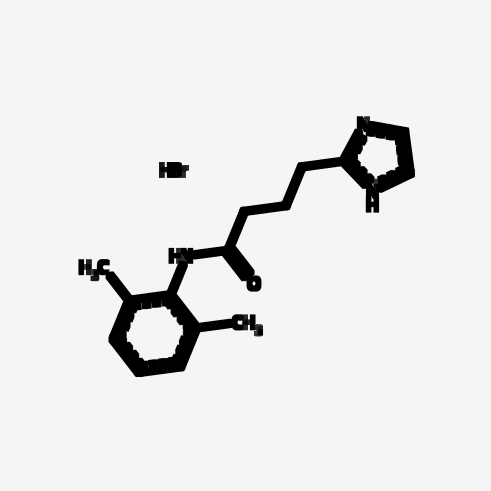 Br.Cc1cccc(C)c1NC(=O)CCCc1ncc[nH]1